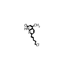 Cc1cc(=O)[nH]c2nc(/C=C/CCCCl)ccc12